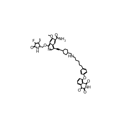 CC[C@@H]1[C@H](F)C(=O)N[C@@H]1COc1ncc(C#CC2CCC(CNCCCCCc3ccc(Oc4cccc5c4C(=O)NC(=O)C5=O)cc3)CC2)c2cc(C(N)=O)c(OC)cc12